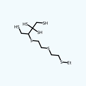 CCSCCSCCSC(CS)C(S)(S)CS